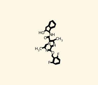 Cc1cn2c(C(=O)NC3c4ccccc4CC3O)c(C)nc2c(OCc2c(F)cccc2F)n1